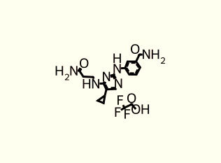 NC(=O)CCNc1nc(Nc2cccc(C(N)=O)c2)ncc1C1CC1.O=C(O)C(F)(F)F